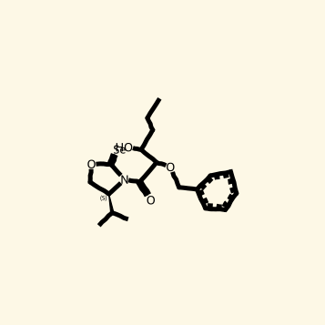 CCCC(O)C(OCc1ccccc1)C(=O)N1C(=[Se])OC[C@@H]1C(C)C